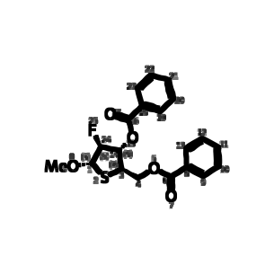 CO[C@H]1S[C@H](COC(=O)c2ccccc2)[C@@H](OC(=O)c2ccccc2)[C@@H]1F